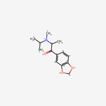 BC(B)N(C)C(C)C(=O)c1ccc2c(c1)OCO2